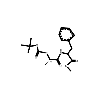 COC(=O)C(Cc1ccccc1)NC(=O)[C@H](C)NC(=O)OC(C)(C)C